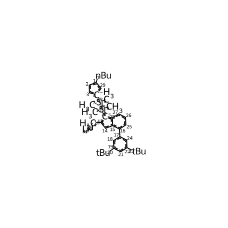 CCCCc1cc[c-]([Si](C)(C)[Si](C)(C)[c-]2c(C)cc3c(-c4cc(C(C)(C)C)cc(C(C)(C)C)c4)cccc32)c1.[Li+].[Li+]